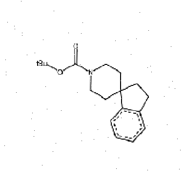 CC(C)(C)OC(=O)N1CCC2(CCc3ccccc32)CC1